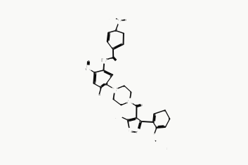 COC1=CCCC=C1c1n[nH]c(C)c1C(=O)N1CCN(c2cc(NC(=O)C3=CCC(N(C)C)C=C3)c([N+](=O)[O-])cc2Cl)CC1